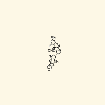 Cn1cc(-c2ccnc(-n3ncc4cc(C(C)(C)C)cc(F)c4c3=O)c2C=O)cc(Nc2cc3n(n2)CCOC3)c1=O